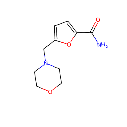 NC(=O)c1ccc(CN2CCOCC2)o1